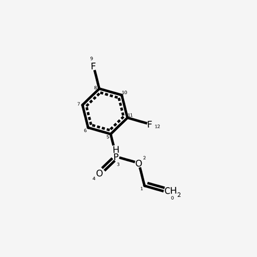 C=CO[PH](=O)c1ccc(F)cc1F